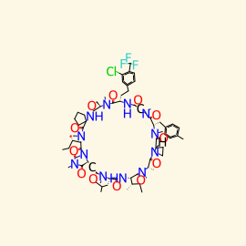 CC[C@H](C)[C@@H]1NC(=O)[C@H](CC(C)C)N(C)C(=O)C[C@@H](C(=O)N(C)C)N(C)C(=O)[C@H]([C@@H](C)CC)N(C)C(=O)C2(CCCC2)NC(=O)[C@@H](C)N(C)C(=O)[C@H](CCc2ccc(C(F)(F)F)c(Cl)c2)NC(=O)CN(C)C(=O)[C@H](Cc2ccc(C)cc2)N(C)C(=O)[C@@H]2CCN2C(=O)[C@H](C)N(C)C1=O